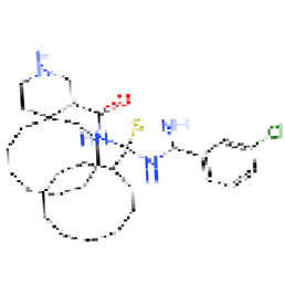 O=C(NC1(C2CCCCCCCCC2)NC(c2cccc(Cl)c2)NS1)C1CNCCC12CCCCCCCCC2